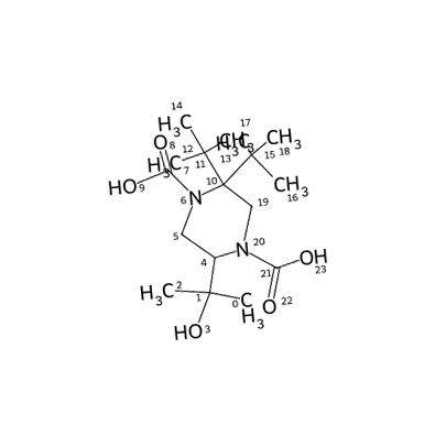 CC(C)(O)C1CN(C(=O)O)C(C(C)(C)C)(C(C)(C)C)CN1C(=O)O